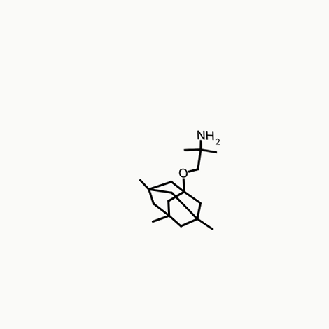 CC(C)(N)COC12CC3(C)CC(C)(CC(C)(C3)C1)C2